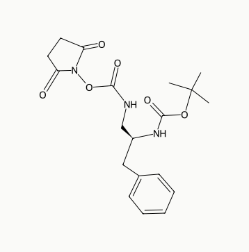 CC(C)(C)OC(=O)N[C@H](CNC(=O)ON1C(=O)CCC1=O)Cc1ccccc1